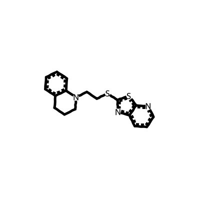 c1ccc2c(c1)CCCN2CCSc1nc2cccnc2s1